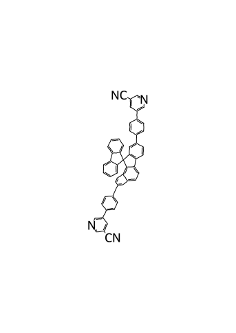 N#Cc1cncc(-c2ccc(-c3ccc4c(c3)C3(c5ccccc5-c5ccccc53)c3c-4ccc4cc(-c5ccc(-c6cncc(C#N)c6)cc5)ccc34)cc2)c1